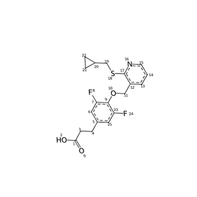 O=C(O)CCc1cc(F)c(OCc2cccnc2SCC2CC2)c(F)c1